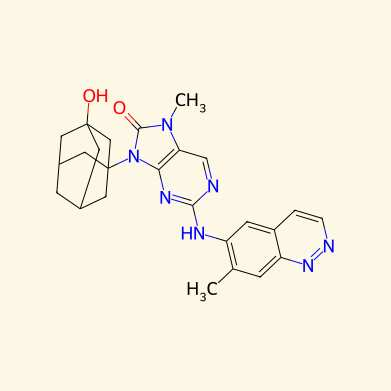 Cc1cc2nnccc2cc1Nc1ncc2c(n1)n(C13CC4CC(CC(O)(C4)C1)C3)c(=O)n2C